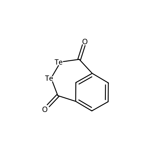 O=C1[Te][Te]C(=O)c2cccc1c2